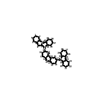 c1ccc2c(c1)cc1n(-c3ccc4sc5ccc(-n6c7ccccc7c7ccccc76)cc5c4n3)c3ccccc3n21